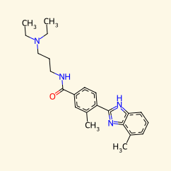 CCN(CC)CCCNC(=O)c1ccc(-c2nc3c(C)cccc3[nH]2)c(C)c1